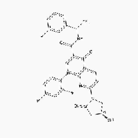 O=C(NC(c1cccc(F)c1)C(F)(F)F)c1cn(-c2ccc(F)cc2F)c2nc(N3C[C@@H](O)CC3=O)ccc2c1=O